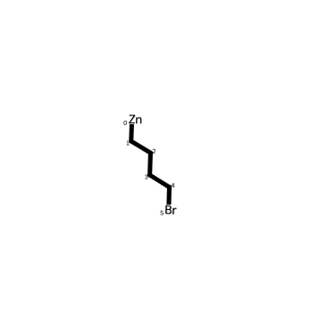 [Zn][CH2]CCCBr